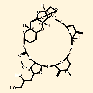 C=C1C2CC3OC(CC(O)CO)[C@H](OC)C3CC(=O)CC3CCC4O[C@@H]5C6O[C@@H]7C[C@](CCC8CC(=C)[C@H](CCC(C[C@H]1C)O2)O8)(OC6[C@H]4O3)OC57